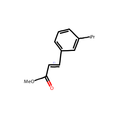 COC(=O)/C=C/c1cccc(C(C)C)c1